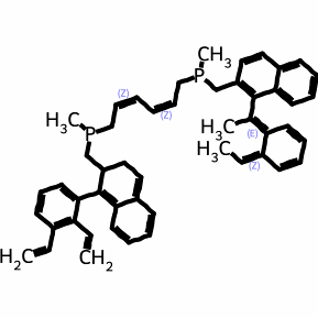 C=Cc1cccc(C2=c3ccccc3=CCC2CP(C)C/C=C\C=C/CP(C)Cc2ccc3ccccc3c2/C(C)=c2\cccc\c2=C\C)c1C=C